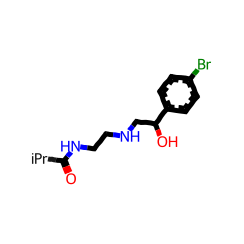 CC(C)C(=O)NCCNCC(O)c1ccc(Br)cc1